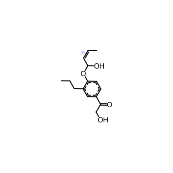 C/C=C\C(O)Oc1ccc(C(=O)CO)cc1CCC